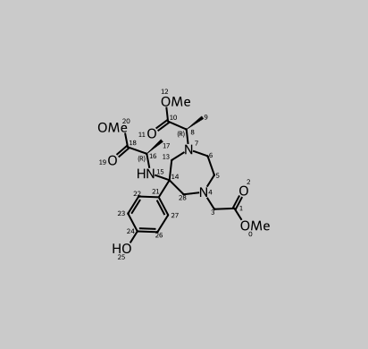 COC(=O)CN1CCN([C@H](C)C(=O)OC)CC(N[C@H](C)C(=O)OC)(c2ccc(O)cc2)C1